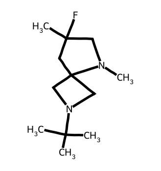 CN1CC(C)(F)CC12CN(C(C)(C)C)C2